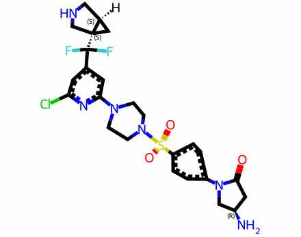 N[C@@H]1CC(=O)N(c2ccc(S(=O)(=O)N3CCN(c4cc(C(F)(F)[C@]56CNC[C@H]5C6)cc(Cl)n4)CC3)cc2)C1